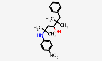 CC(C)(CC(O)C(C)(C)Cc1ccccc1)Nc1ccc([N+](=O)[O-])cc1